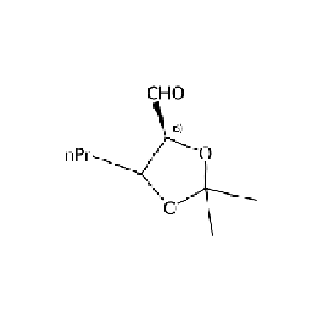 CCCC1OC(C)(C)O[C@@H]1C=O